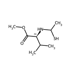 COC(=O)[C@@H](NC(C)S)C(C)C